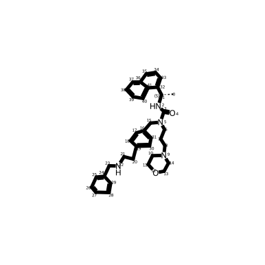 C[C@H](NC(=O)N(CCCN1CCOCC1)Cc1ccc(CCNCc2ccccc2)cc1)c1cccc2ccccc12